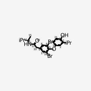 CC(C)c1cc(Oc2c(Br)cc(CC(=O)N[C@H](C)C(C)C)cc2Br)ccc1O